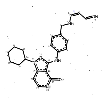 N=C/C=N\NCc1ccc(Nc2nn(C3CCCCC3)c3cc[nH]c(=O)c23)cc1